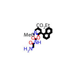 CCOC(=O)C1=CC(c2cccc3ccccc23)=C(OC(=O)NC(=O)CN)N(OC)C1